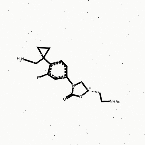 CC(=O)NCC[C@H]1CN(c2ccc(C3(CN)CC3)c(F)c2)C(=O)O1